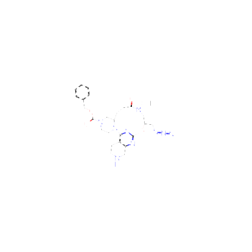 CN1CC(CN=[N+]=[N-])Oc2nc3c(c(n2)N2CCN(C(=O)OCc4ccccc4)CC2CCC1=O)CCNC3